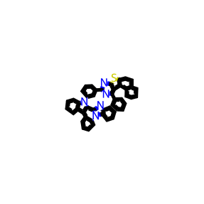 c1ccc(-c2nc(-c3cccc(-n4c5ccccc5c5c6ccccc6n6c7ccccc7nc6c54)c3)nc3sc4ccc5ccccc5c4c23)cc1